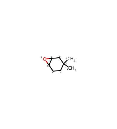 CC1(C)CCC2OC2C1